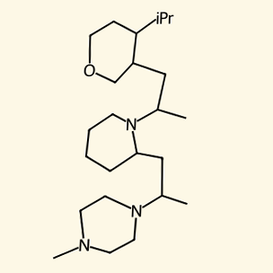 CC(C)C1CCOCC1CC(C)N1CCCCC1CC(C)N1CCN(C)CC1